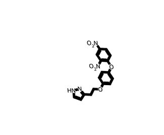 O=[N+]([O-])c1ccc(Oc2ccc(OCCc3cc[nH]n3)cc2)c([N+](=O)[O-])c1